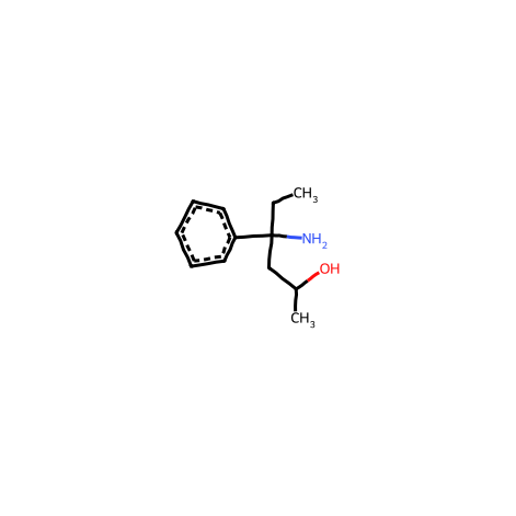 CCC(N)(CC(C)O)c1ccccc1